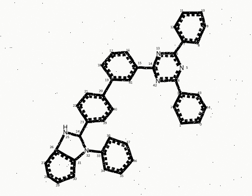 c1ccc(-c2nc(-c3ccccc3)nc(-c3cccc(-c4ccc(C5Nc6ccccc6N5c5ccccc5)cc4)c3)n2)cc1